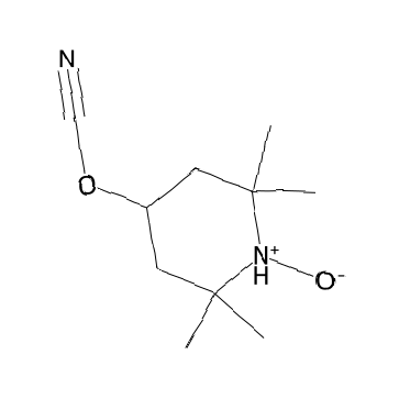 CC1(C)CC(OC#N)CC(C)(C)[NH+]1[O-]